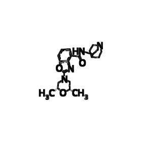 C[C@@H]1CN(c2nc3c(C(=O)NC4CN5CCC4CC5)cccc3o2)C[C@H](C)O1